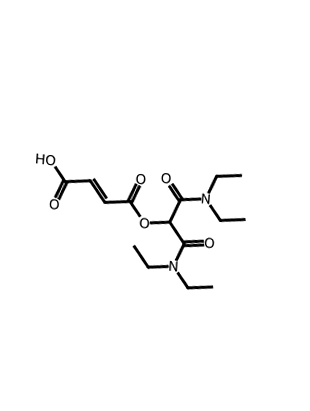 CCN(CC)C(=O)C(OC(=O)C=CC(=O)O)C(=O)N(CC)CC